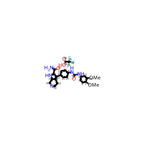 COc1ccc(NC(=O)Nc2ccc(-c3c(C(N)=O)[nH]c4cnccc34)cc2)cc1OC.O=C(O)C(F)(F)F